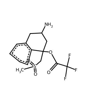 CS(=O)(=O)CC1(OC(=O)C(F)(F)F)CC(N)Cc2ccccc21